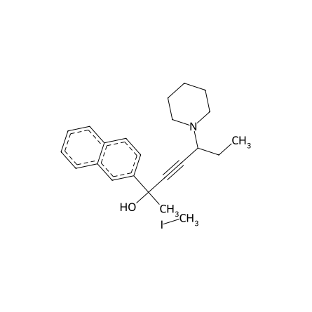 CCC(C#CC(C)(O)c1ccc2ccccc2c1)N1CCCCC1.CI